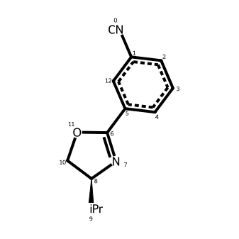 [C-]#[N+]c1cccc(C2=N[C@@H](C(C)C)CO2)c1